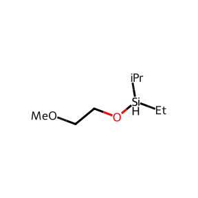 CC[SiH](OCCOC)C(C)C